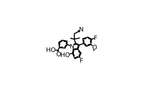 COc1cc(-c2c(C(C)(C)CC#N)n(-c3cccc(C(=O)O)c3)c3c(O)cc(F)cc23)ccc1F